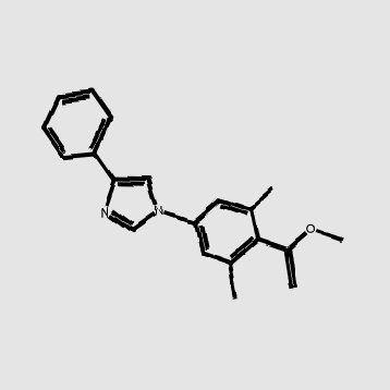 C=C(OC)c1c(C)cc(-n2cnc(-c3ccccc3)c2)cc1C